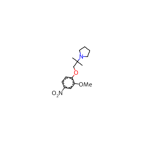 COc1cc([N+](=O)[O-])ccc1OCC(C)(C)N1CCCC1